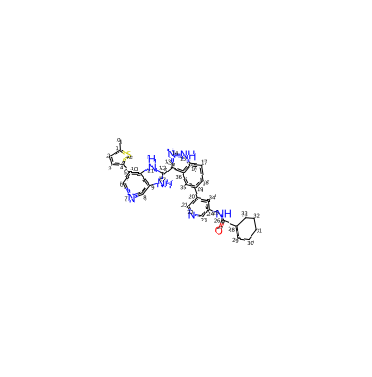 Cc1ccc(-c2cncc3c2NC(c2n[nH]c4ccc(-c5cncc(NC(=O)C6CCCCC6)c5)cc24)N3)s1